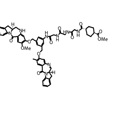 COc1cc2c(cc1OCc1cc(COc3cc4c(cc3C)C(=O)N3c5ccccc5C[C@H]3C=N4)cc(NC(=O)CNC(=O)CNC(=O)CNC(=O)[C@H]3CC[C@H](C(=O)OC)CC3)c1)NC[C@@H]1Cc3ccccc3N1C2=O